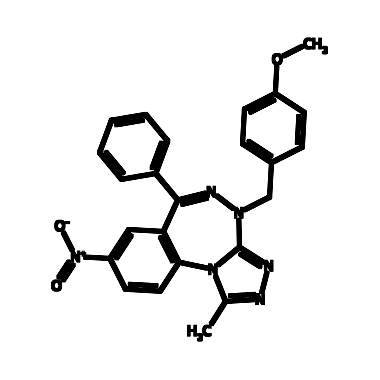 COc1ccc(CN2N=C(c3ccccc3)c3cc([N+](=O)[O-])ccc3-n3c(C)nnc32)cc1